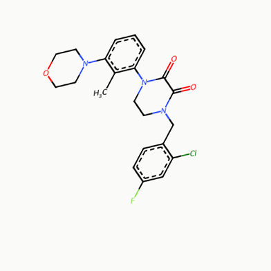 Cc1c(N2CCOCC2)cccc1N1CCN(Cc2ccc(F)cc2Cl)C(=O)C1=O